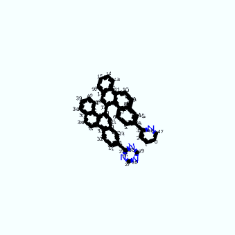 c1ccc(-c2ccc3c(ccc4c5ccccc5cc(-c5cc6cc(-c7ncncn7)ccc6c6ccc7ccccc7c56)c34)c2)nc1